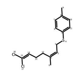 CC(=CCSc1ccc(C)cc1)CCC=C(Cl)Cl